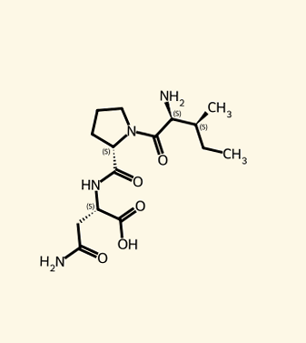 CC[C@H](C)[C@H](N)C(=O)N1CCC[C@H]1C(=O)N[C@@H](CC(N)=O)C(=O)O